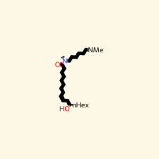 CCCCCC[C@@H](O)C/C=C\CCCCCCCC(=O)N(C)CCC[CH]CCNC